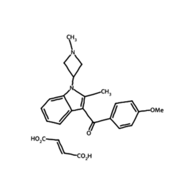 COc1ccc(C(=O)c2c(C)n(C3CN(C)C3)c3ccccc23)cc1.O=C(O)C=CC(=O)O